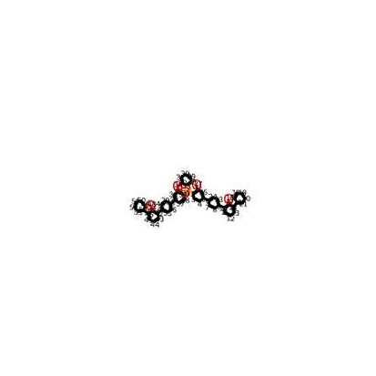 O=P12c3ccc(-c4ccc(-c5cccc6c5oc5ccccc56)cc4)cc3Oc3cccc(c31)Oc1cc(-c3ccc(-c4cccc5c4oc4ccccc45)cc3)ccc12